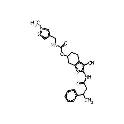 CC(CC(=O)Nc1sc2c(c1C#N)CCC(OC(=O)NCc1cnn(C)c1)C2)c1ccccc1